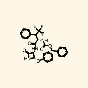 O=C(N[C@H](C(=O)N[C@@H]1C(=O)N[C@H]1Oc1ccccc1)C(c1ccccc1)C(F)(F)F)OCc1ccccc1